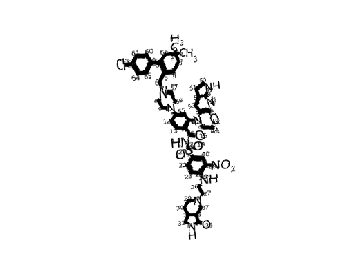 CC1(C)CCC(CN2CCN(c3ccc(C(=O)NS(=O)(=O)c4ccc(NCCN5CCC6CNC(=O)C6C5)c([N+](=O)[O-])c4)c(N4CCOc5nc6[nH]ccc6cc54)c3)CC2)=C(c2ccc(Cl)cc2)C1